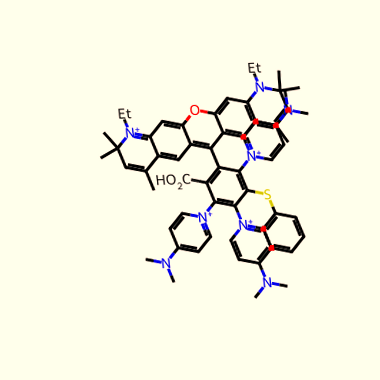 CCN1c2cc3c(cc2C(C)=CC1(C)C)C(c1c(C(=O)O)c(-[n+]2ccc(N(C)C)cc2)c(-[n+]2ccc(N(C)C)cc2)c(Sc2ccccc2)c1-[n+]1ccc(N(C)C)cc1)=c1cc2c(cc1O3)=[N+](CC)C(C)(C)C=C2C